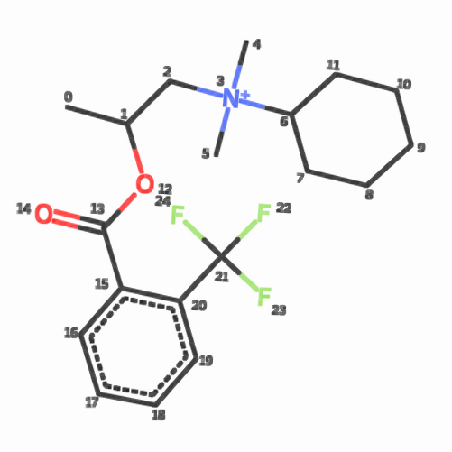 CC(C[N+](C)(C)C1CCCCC1)OC(=O)c1ccccc1C(F)(F)F